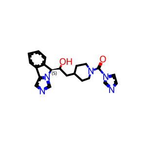 O=C(N1CCC(CC(O)[C@@H]2c3ccccc3-c3cncn32)CC1)n1ccnc1